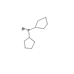 BrP(C1CCCC1)C1CCCC1